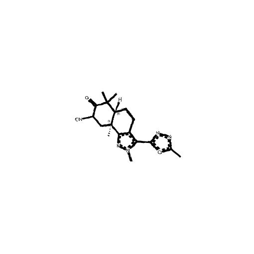 [C-]#[N+]C1C[C@]2(C)c3nn(C)c(-c4nnc(C)o4)c3CC[C@H]2C(C)(C)C1=O